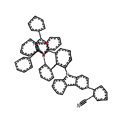 N#Cc1ccccc1-c1ccc2c(c1)c1ccccc1n2-c1cccc(-c2cc(-c3ccccc3)nc(-c3ccccc3)n2)c1-c1ccccc1-n1c2ccccc2c2ccccc21